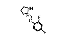 Fc1ccc(OC[C@@H]2CCCN2)c(F)c1